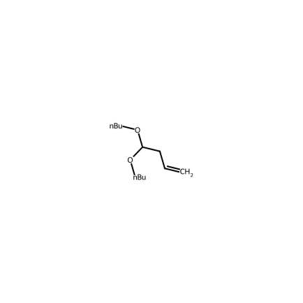 C=CCC(OCCCC)OCCCC